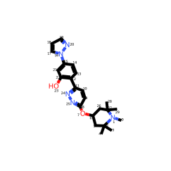 CN1C(C)(C)CC(Oc2ccc(-c3ccc(-n4cccn4)cc3O)nn2)CC1(C)C